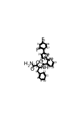 NC(=O)C(=O)C(Cc1ccccc1)NC(=O)c1cccnc1-n1ccc(-c2ccc(F)cc2F)n1